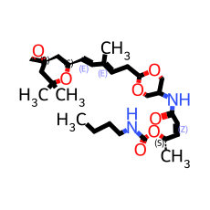 CCCCNC(=O)O[C@@H](C)/C=C\C(=O)NC1COC(C/C=C(C)/C=C/[C@@H]2C[C@]3(CO3)CC(C)(C)O2)OC1